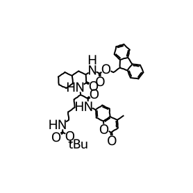 Cc1cc(=O)oc2cc(NC(=O)C(CCCCNC(=O)OC(C)(C)C)NC(=O)C(CC3CCCCC3)NC(=O)OCC3c4ccccc4-c4ccccc43)ccc12